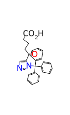 O=C(O)CCCC(=O)c1cncn1C(c1ccccc1)(c1ccccc1)c1ccccc1